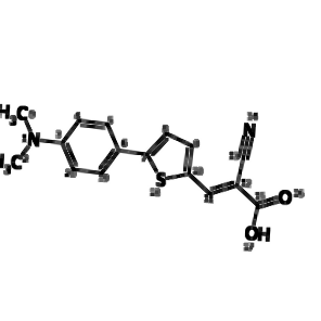 CN(C)c1ccc(-c2ccc(/C=C(\C#N)C(=O)O)s2)cc1